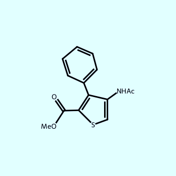 COC(=O)c1scc(NC(C)=O)c1-c1ccccc1